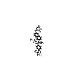 CCCC(=O)Oc1ccc(C(=O)Nc2ccc3cc(CN4CCCC4)cnc3c2C)cc1